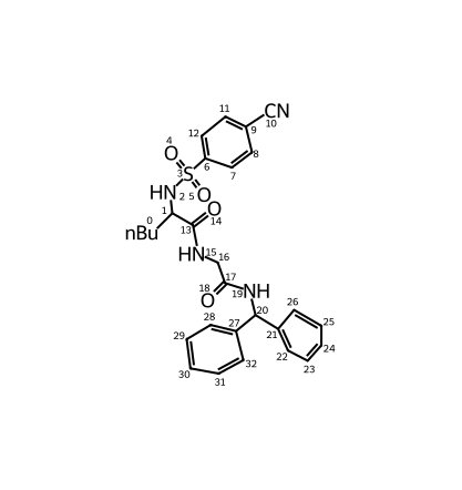 CCCCC(NS(=O)(=O)c1ccc(C#N)cc1)C(=O)NCC(=O)NC(c1ccccc1)c1ccccc1